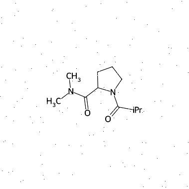 CC(C)C(=O)N1CCCC1C(=O)N(C)C